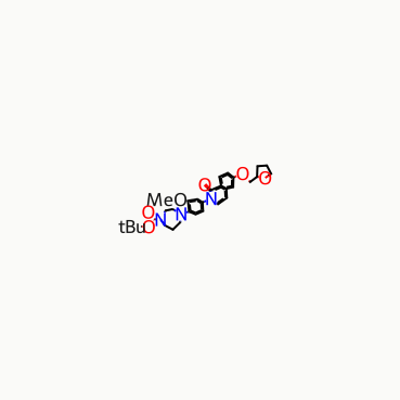 COc1cc(-n2ccc3cc(OCC4CCCO4)ccc3c2=O)ccc1N1CCCN(C(=O)OC(C)(C)C)CC1